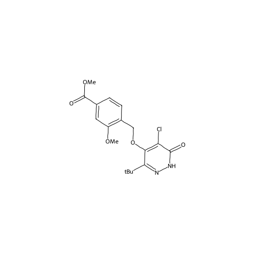 COC(=O)c1ccc(COc2c(C(C)(C)C)n[nH]c(=O)c2Cl)c(OC)c1